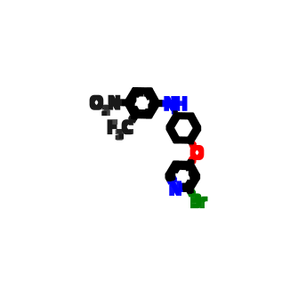 O=[N+]([O-])c1ccc(N[C@H]2CC[C@H](Oc3ccnc(Br)c3)CC2)cc1C(F)(F)F